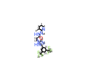 Cc1cccnc1N(C)NC(=O)/C=C\N1C=NC(c2cc(C(F)(F)F)cc(C(F)(F)F)c2)N1